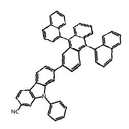 N#Cc1ccc2c3ccc(-c4ccc5c(-c6cccc7ccccc67)c6ccccc6c(-c6cccc7ccccc67)c5c4)cc3n(-c3ccccc3)c2c1